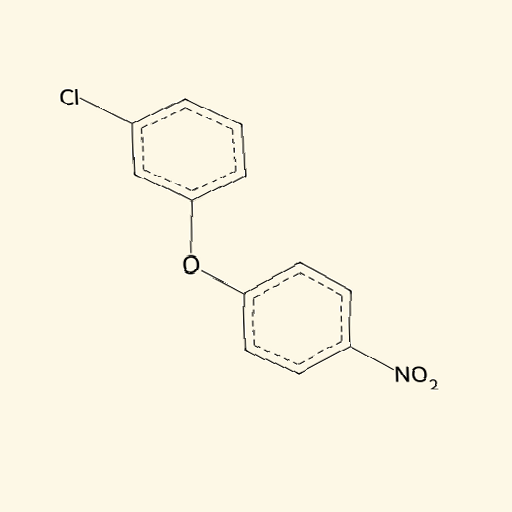 O=[N+]([O-])c1ccc(Oc2cccc(Cl)c2)cc1